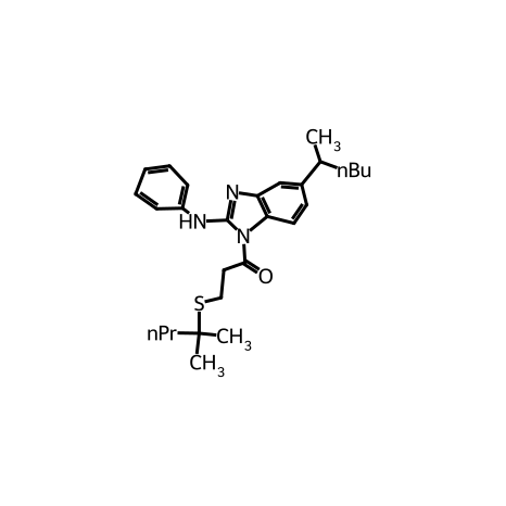 CCCCC(C)c1ccc2c(c1)nc(Nc1ccccc1)n2C(=O)CCSC(C)(C)CCC